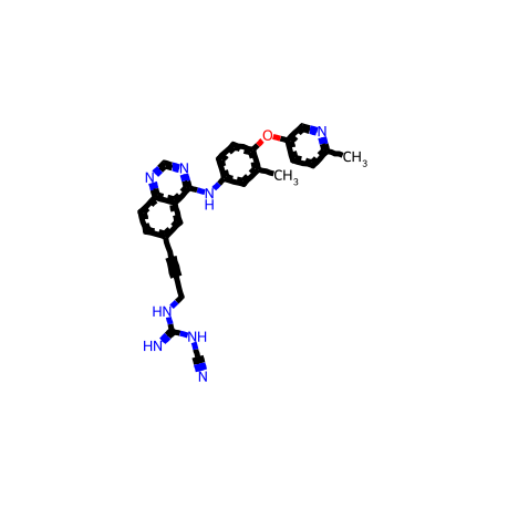 Cc1ccc(Oc2ccc(Nc3ncnc4ccc(C#CCNC(=N)NC#N)cc34)cc2C)cn1